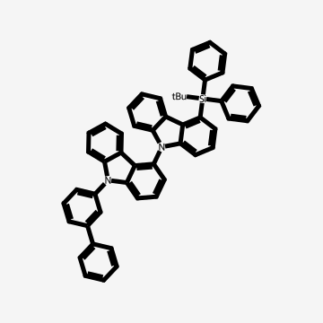 CC(C)(C)[Si](c1ccccc1)(c1ccccc1)c1cccc2c1c1ccccc1n2-c1cccc2c1c1ccccc1n2-c1cccc(-c2ccccc2)c1